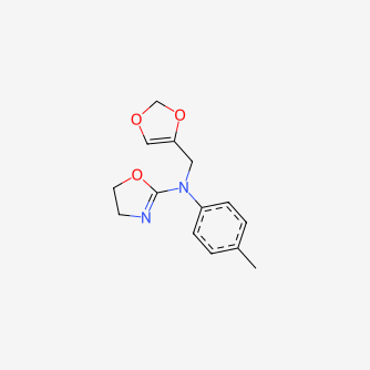 Cc1ccc(N(CC2=COCO2)C2=NCCO2)cc1